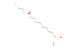 CCOP(=O)(F)CCCCCCCCCC(=O)NCCNC